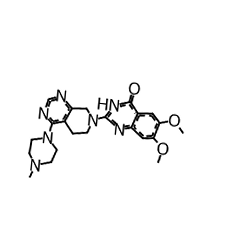 COc1cc2nc(N3CCc4c(ncnc4N4CCN(C)CC4)C3)[nH]c(=O)c2cc1OC